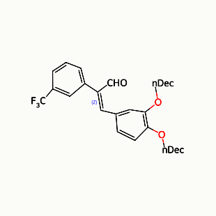 CCCCCCCCCCOc1ccc(/C=C(\C=O)c2cccc(C(F)(F)F)c2)cc1OCCCCCCCCCC